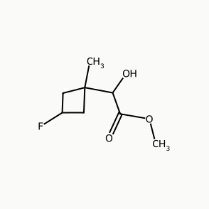 COC(=O)C(O)C1(C)CC(F)C1